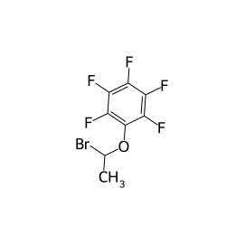 CC(Br)Oc1c(F)c(F)c(F)c(F)c1F